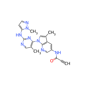 C#CC(=O)Nc1cnc2c(c1)c(C)cn2-c1nc(Nc2ccnn2C)ncc1C